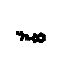 NC(=O)CNc1nc2ccccc2o1